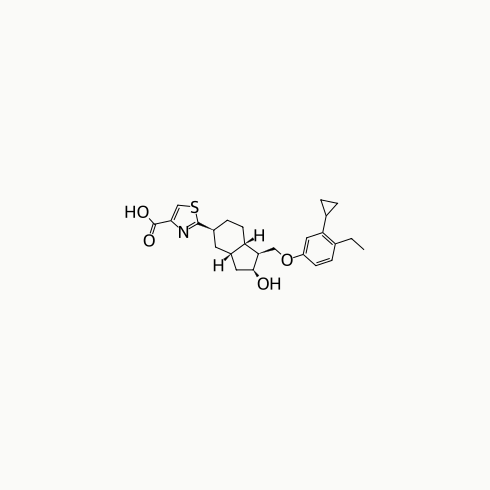 CCc1ccc(OC[C@@H]2[C@H]3CC[C@H](c4nc(C(=O)O)cs4)C[C@H]3C[C@@H]2O)cc1C1CC1